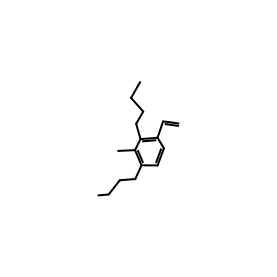 C=Cc1ccc(CCCC)c(C)c1CCCC